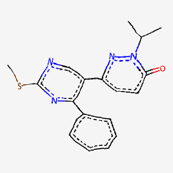 CSc1ncc(-c2ccc(=O)n(C(C)C)n2)c(-c2ccccc2)n1